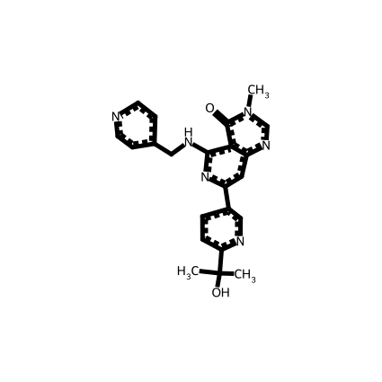 Cn1cnc2cc(-c3ccc(C(C)(C)O)nc3)nc(NCc3ccncc3)c2c1=O